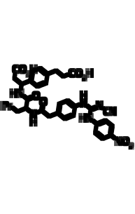 CC(C)CC(NC(=O)Cc1ccc(NC(=NC#N)Nc2ccc([N+](=O)[O-])cc2)cc1)C(=O)NC(CC(=O)O)c1ccc(CCC(=O)O)cc1